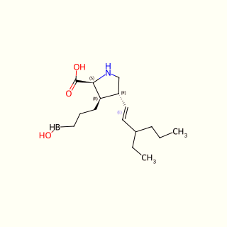 CCCC(/C=C/[C@H]1CN[C@H](C(=O)O)[C@@H]1CCCBO)CC